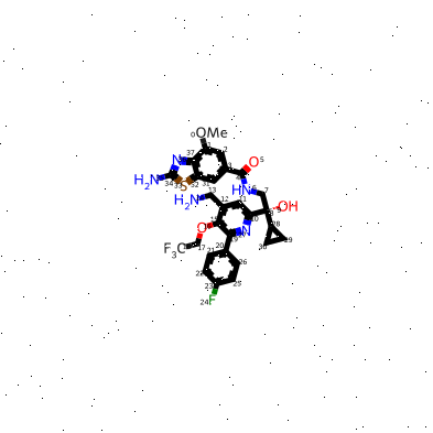 COc1cc(C(=O)NC[C@](O)(c2cc(CN)c(OCC(F)(F)F)c(-c3ccc(F)cc3)n2)C2CC2)cc2sc(N)nc12